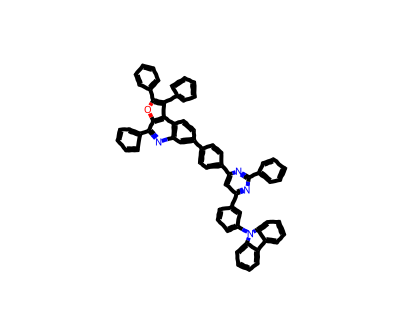 c1ccc(-c2nc(-c3ccc(-c4ccc5c(c4)nc(-c4ccccc4)c4oc(-c6ccccc6)c(-c6ccccc6)c45)cc3)cc(-c3cccc(-n4c5ccccc5c5ccccc54)c3)n2)cc1